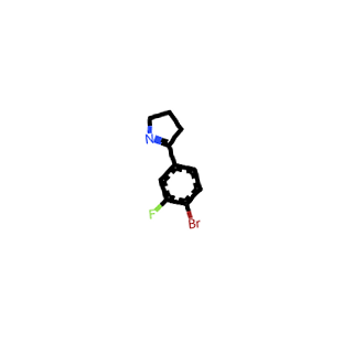 Fc1cc(C2=NCCC2)ccc1Br